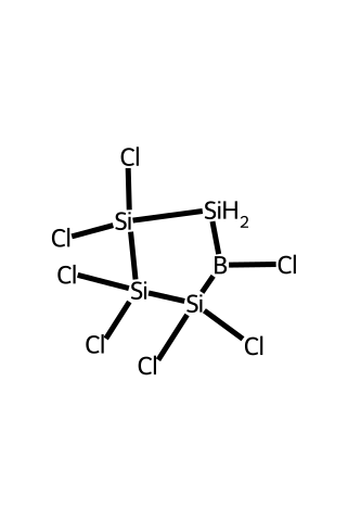 ClB1[SiH2][Si](Cl)(Cl)[Si](Cl)(Cl)[Si]1(Cl)Cl